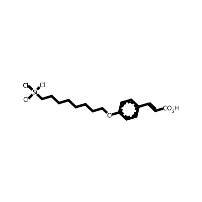 O=C(O)/C=C/c1ccc(OCCCCCCCC[Si](Cl)(Cl)Cl)cc1